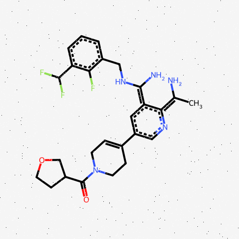 C/C(N)=c1\ncc(C2=CCN(C(=O)C3CCOC3)CC2)c\c1=C(\N)NCc1cccc(C(F)F)c1F